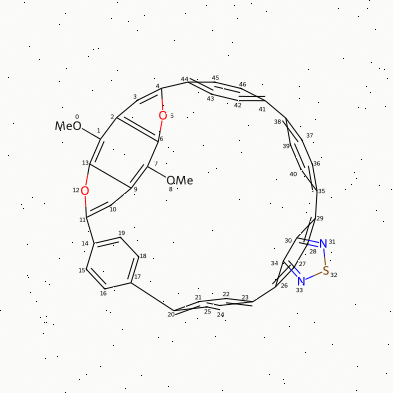 COc1c2cc3oc2c(OC)c2cc(oc12)-c1ccc(cc1)-c1ccc(cc1)-c1ccc(c2nsnc12)-c1ccc(cc1)-c1ccc-3cc1